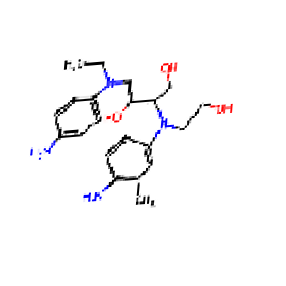 CCN(CC(O)C(CO)N(CCO)c1ccc(N)c(C)c1)c1ccc(N)cc1